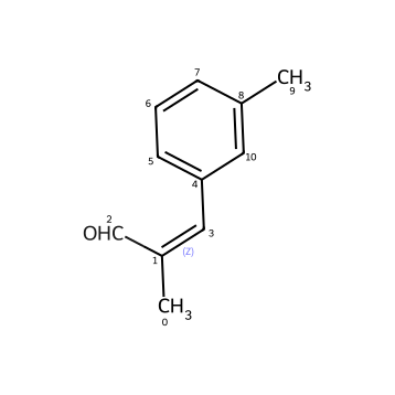 C/C(C=O)=C/c1cccc(C)c1